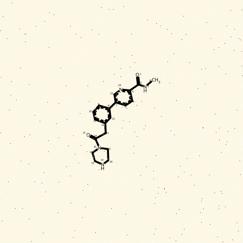 CNC(=O)c1ccc(-c2cccc(CC(=O)N3CCNCC3)c2)cn1